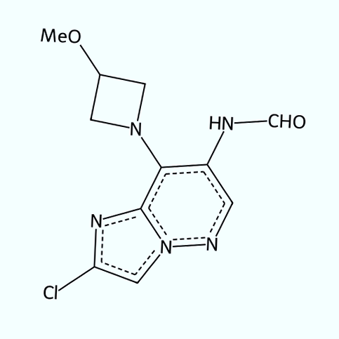 COC1CN(c2c(NC=O)cnn3cc(Cl)nc23)C1